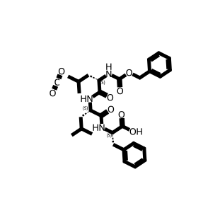 CC(C)C[C@H](NC(=O)OCc1ccccc1)C(=O)N[C@@H](CC(C)C)C(=O)N[C@@H](Cc1ccccc1)C(=O)O.O=C=O